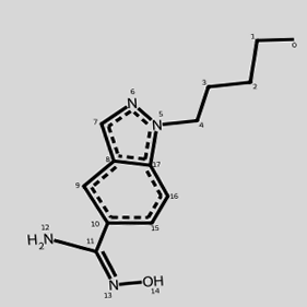 CCCCCn1ncc2cc(/C(N)=N\O)ccc21